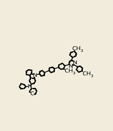 Cc1ccc(-c2cc(-c3ccc(-c4ccc(-c5ccc(-n6c7ccccc7c7cc(N(c8ccccc8)c8ccccc8)ccc76)cc5)cc4)cc3C)nc(-c3ccc(C)cc3)n2)cc1